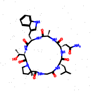 CC(C)C[C@@H]1NC(=O)CNC(=O)[C@@H]2CCCN2C(=O)[C@H]([C@@H](C)O)NC(=O)[C@H](Cc2c[nH]c3ccccc23)NC(=O)[C@H](C)NC(=O)[C@H](CC(N)=O)NC1=O